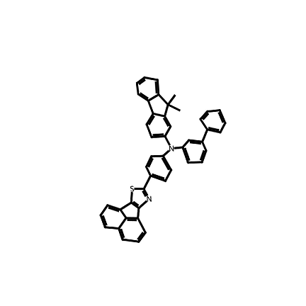 CC1(C)c2ccccc2-c2ccc(N(c3ccc(-c4nc5c(s4)-c4cccc6cccc-5c46)cc3)c3cccc(-c4ccccc4)c3)cc21